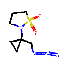 [N-]=[N+]=NCC1(N2CCCS2(=O)=O)CC1